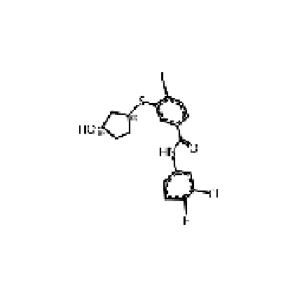 O=C(Nc1ccc(F)c(Cl)c1)c1ccc(I)c(S[C@H]2CC[C@H](O)C2)c1